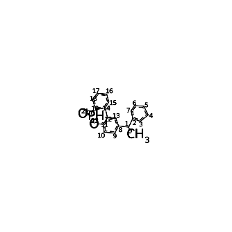 CC(c1ccccc1)c1ccc2c(c1)-c1ccccc1[PH](=O)O2